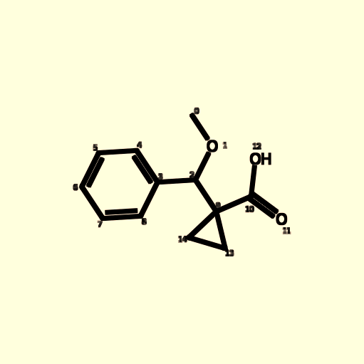 COC(c1ccccc1)C1(C(=O)O)CC1